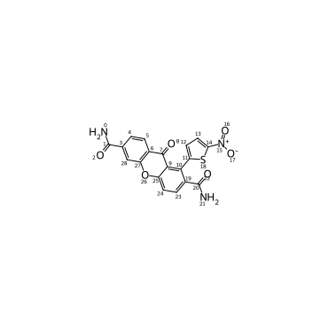 NC(=O)c1ccc2c(=O)c3c(-c4ccc([N+](=O)[O-])s4)c(C(N)=O)ccc3oc2c1